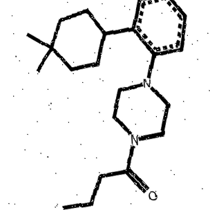 CCCC(=O)N1CCN(c2ccccc2C2CCC(C)(C)CC2)CC1